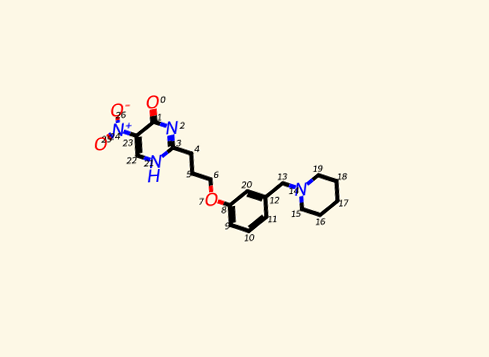 O=c1nc(CCCOc2cccc(CN3CCCCC3)c2)[nH]cc1[N+](=O)[O-]